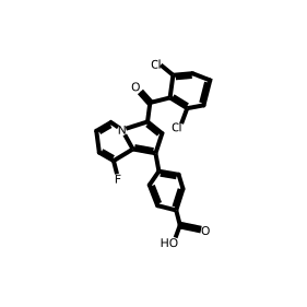 O=C(O)c1ccc(-c2cc(C(=O)c3c(Cl)cccc3Cl)n3cccc(F)c23)cc1